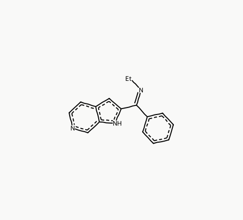 CC/N=C(/c1ccccc1)c1cc2ccncc2[nH]1